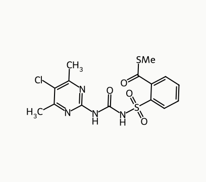 CSC(=O)c1ccccc1S(=O)(=O)NC(=O)Nc1nc(C)c(Cl)c(C)n1